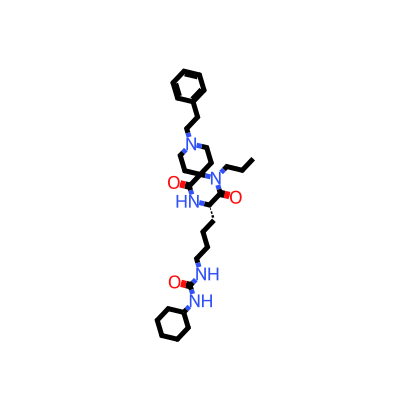 CCCN1C(=O)[C@H](CCCCNC(=O)NC2CCCCC2)NC(=O)C12CCN(CCc1ccccc1)CC2